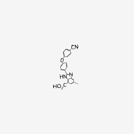 Cc1cc(C(=O)O)c2[nH]c(-c3ccc(Oc4ccc(C#N)cc4)cc3)nc2c1